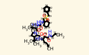 C#CCCC(NC(=O)C1C(C(C)(C)C)CCN1C(=O)[C@@H](NC(=O)NC1(CS(=O)(=O)Cc2ccccc2)CCCCC1)C(C)(C)C)C(=O)C(=O)NCC=C